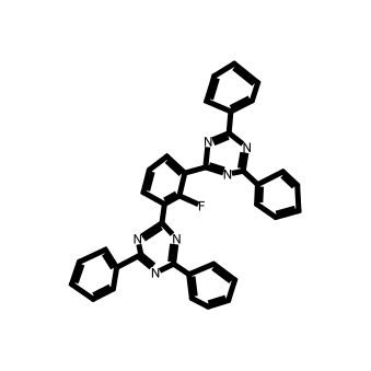 Fc1c(-c2nc(-c3ccccc3)nc(-c3ccccc3)n2)cccc1-c1nc(-c2ccccc2)nc(-c2ccccc2)n1